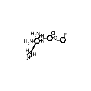 CN1C[C@@H]2C(C#Cc3cc4nc(-c5ccc(OCc6cccc(F)c6)c(Cl)c5)nc(N)c4cc3N)[C@@H]2C1